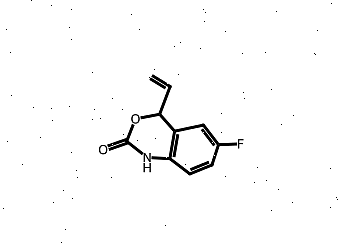 C=CC1OC(=O)Nc2ccc(F)cc21